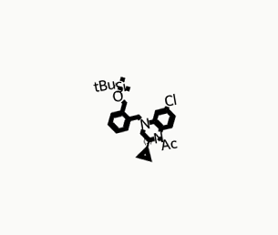 CC(=O)N1c2ccc(Cl)cc2N(Cc2ccccc2CO[Si](C)(C)C(C)(C)C)C[C@@H]1C1CC1